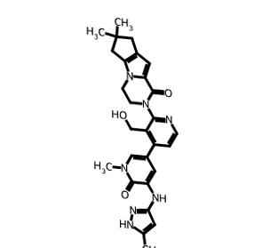 Cc1cc(Nc2cc(-c3ccnc(N4CCn5c(cc6c5CC(C)(C)C6)C4=O)c3CO)cn(C)c2=O)n[nH]1